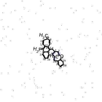 C\C1=C/C(CC2=C3C=CC(C)C=CC3=C(P)C3C=CC=CC23)=C\C=C\C2=CC=CCC2O1